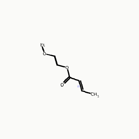 C/C=C/C(=O)OCCOCC